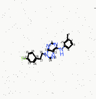 Cc1cccc(Nc2ncnc3c2ncn3CCc2ccc(F)cc2)c1